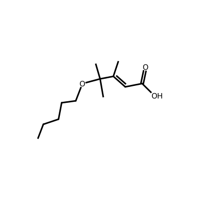 CCCCCOC(C)(C)/C(C)=C/C(=O)O